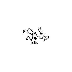 CC(C)(C)C(=O)Nc1cc(F)ccc1SCc1cc2c(cc1Cl)OCO2